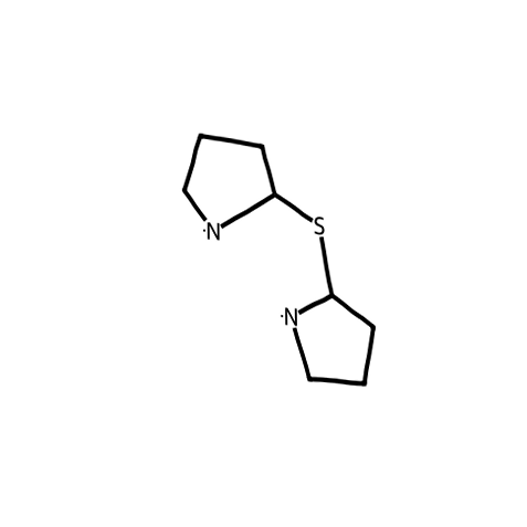 C1C[N]C(SC2CCC[N]2)C1